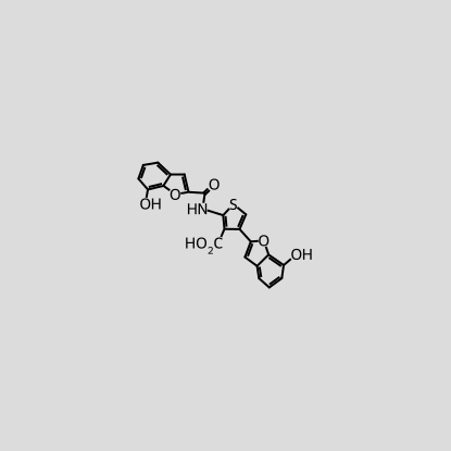 O=C(Nc1scc(-c2cc3cccc(O)c3o2)c1C(=O)O)c1cc2cccc(O)c2o1